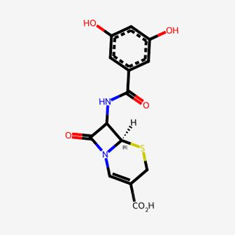 O=C(O)C1=CN2C(=O)C(NC(=O)c3cc(O)cc(O)c3)[C@H]2SC1